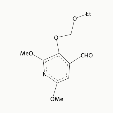 CCOCOc1c(C=O)cc(OC)nc1OC